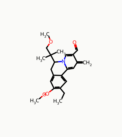 C=C1C=C2c3cc(CC)c(OOC)cc3CC(C(C)(C)COC)N2C=C1C=O